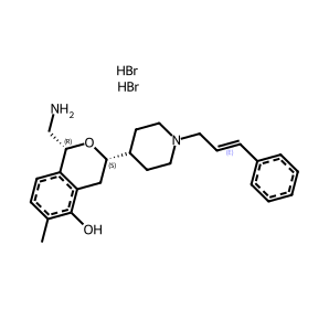 Br.Br.Cc1ccc2c(c1O)C[C@@H](C1CCN(C/C=C/c3ccccc3)CC1)O[C@H]2CN